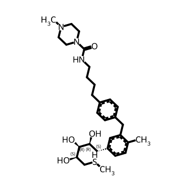 Cc1ccc([C@H]2[C@H](O)[C@H](O)[C@H](O)C[SH]2C)cc1Cc1ccc(CCCCNC(=O)N2CCN(C)CC2)cc1